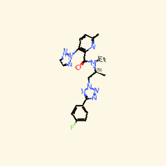 CCN(C(=O)c1nc(C)ccc1-n1nccn1)[C@@H](C)Cn1nnc(-c2ccc(F)cc2)n1